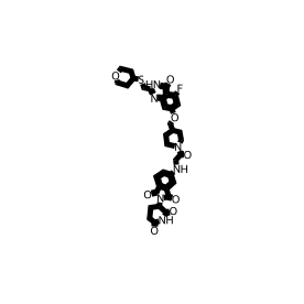 O=C1CCC(N2C(=O)c3ccc(NCC(=O)N4CCC(COc5cc(F)c6c(=O)[nH]c(CSC7CCOCC7)nc6c5)CC4)cc3C2=O)C(=O)N1